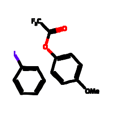 COc1ccc(OC(=O)C(F)(F)F)cc1.Ic1ccccc1